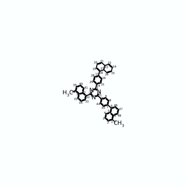 Cc1cccc2c(-c3ccc(-c4nc(-c5ccc(C6=CC=CC7C=CC=CC67)cc5)nc(-c5cccc6c(C)cccc56)n4)cc3)cccc12